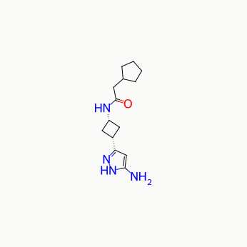 Nc1cc([C@H]2C[C@@H](NC(=O)CC3CCCC3)C2)n[nH]1